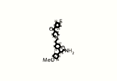 COC1CCC(C(CC(N)=O)C2CCC(CCN3CCC(C(=O)c4ccc(F)cc4)CC3)CC2)CC1